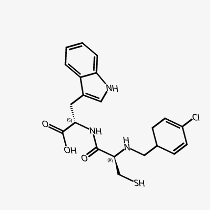 O=C(O)[C@H](Cc1c[nH]c2ccccc12)NC(=O)[C@H](CS)NCC1C=CC(Cl)=CC1